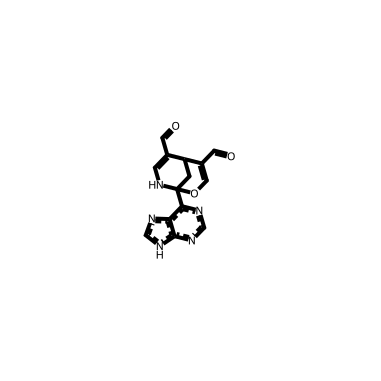 O=CC1=CNC2(c3ncnc4[nH]cnc34)CC1C(C=O)=CO2